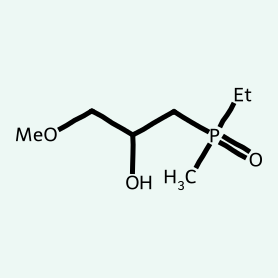 CCP(C)(=O)CC(O)COC